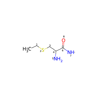 CCSCC(N)C([NH])=O